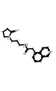 O=C(Cc1cccc2cnccc12)NCCCN1CCCC1=O